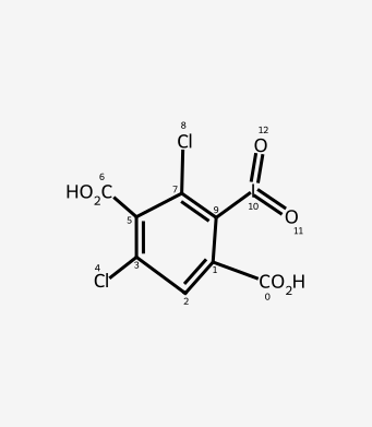 O=C(O)c1cc(Cl)c(C(=O)O)c(Cl)c1I(=O)=O